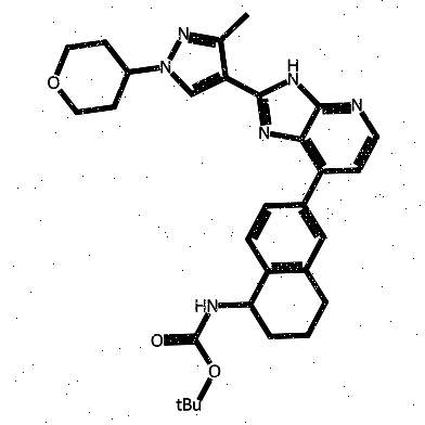 Cc1nn(C2CCOCC2)cc1-c1nc2c(-c3ccc4c(c3)CCCC4NC(=O)OC(C)(C)C)ccnc2[nH]1